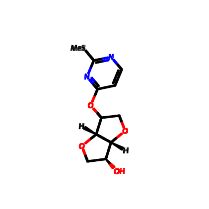 CSc1nccc(OC2CO[C@H]3[C@@H]2OC[C@@H]3O)n1